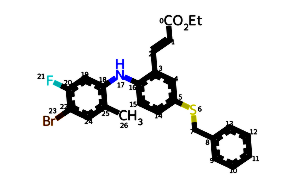 CCOC(=O)/C=C/c1cc(SCc2ccccc2)ccc1Nc1cc(F)c(Br)cc1C